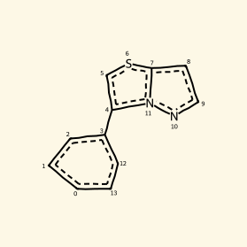 c1ccc(-c2csc3ccnn23)cc1